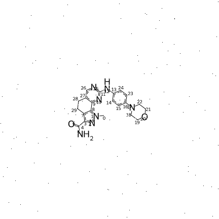 Cn1nc(C(N)=O)c2c1-c1nc(Nc3ccc(N4CCOCC4)cc3)ncc1CC2